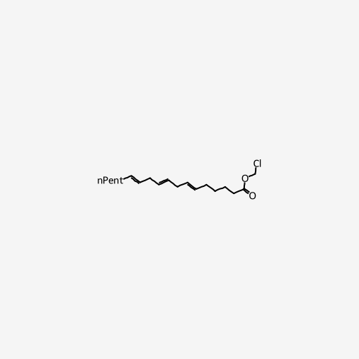 CCCCCC=CCC=CCC=CCCCCC(=O)OCCl